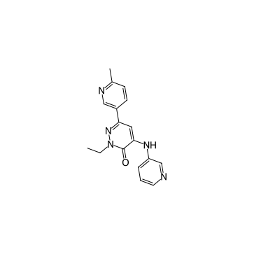 CCn1nc(-c2ccc(C)nc2)cc(Nc2cccnc2)c1=O